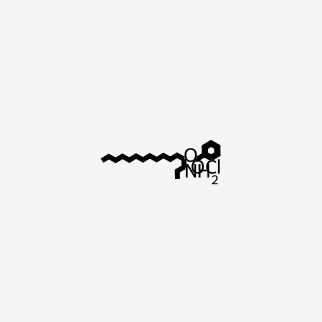 CCCCCCCCCCCCC(OC(=O)c1ccccc1Cl)C(N)CC